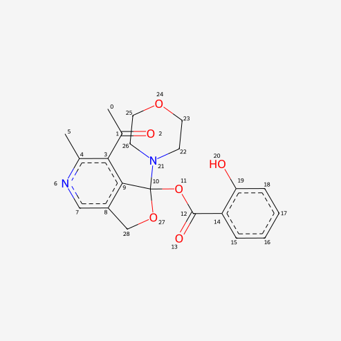 CC(=O)c1c(C)ncc2c1C(OC(=O)c1ccccc1O)(N1CCOCC1)OC2